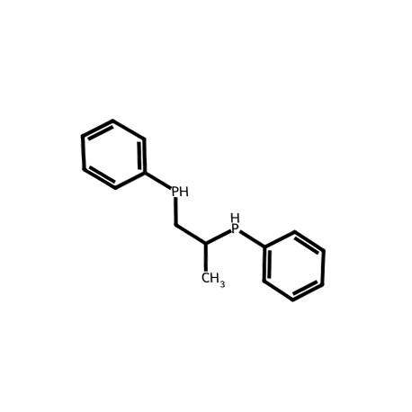 CC(CPc1ccccc1)Pc1ccccc1